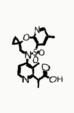 Cc1cnc2c(c1)S(=O)(=O)N(c1ccnc(C(C)C(=O)O)c1C)CC1(CC1)O2